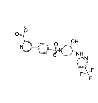 COC(=O)c1cc(-c2ccc(S(=O)(=O)N3CC[C@@H](Nc4ccc(C(F)(F)F)cn4)[C@@H](O)C3)cc2)ccn1